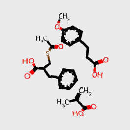 C=C(C)C(=O)O.CC(=O)SCC(Cc1ccccc1)C(=O)O.COc1ccc(CCC(=O)O)cc1